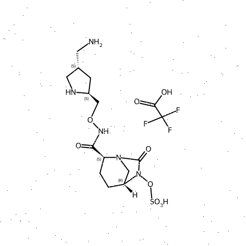 NC[C@H]1CN[C@H](CONC(=O)[C@@H]2CC[C@@H]3CN2C(=O)N3OS(=O)(=O)O)C1.O=C(O)C(F)(F)F